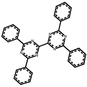 c1ccc(-c2nc(-c3ccccc3)nc(-c3nc(-c4ccccc4)nc(-c4ccccc4)n3)n2)cc1